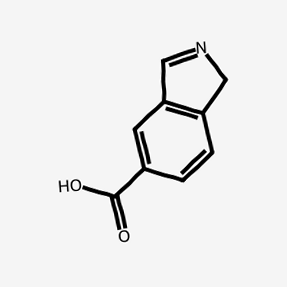 O=C(O)c1ccc2c(c1)C=NC2